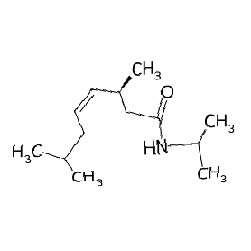 CC(C)C/C=C\[C@@H](C)CC(=O)NC(C)C